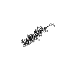 CCCCCCO[C@@H]1OC(CO)[C@@H](O[C@@H]2OC(CO)[C@H](O[C@H]3OC(CO)[C@H](O)[C@H](O[C@@H]4OC(CO)[C@H](O)C(O[C@@H]5OC(CO)[C@H](O)C(O[C@]6(C(=O)O)C[C@@H](O)[C@@H](C)C([C@H](O)[C@H](O)CO)O6)[C@@H]5O)[C@@H]4C)C3O)C(O)[C@@H]2O)C(O)[C@@H]1O